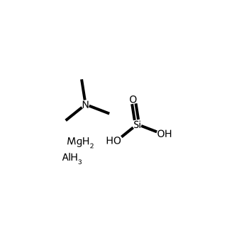 CN(C)C.O=[Si](O)O.[AlH3].[MgH2]